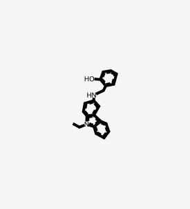 CCn1c2ccccc2c2cc(NCc3ccccc3O)ccc21